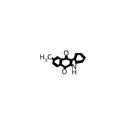 Cc1ccc2c(c1)C(=O)c1c([nH]c3ccccc13)C2=O